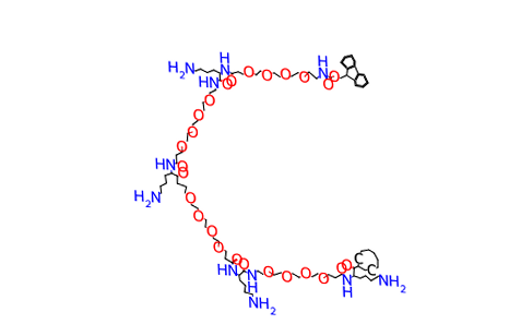 NCCCCC(NC(=O)CCOCCOCCOCCOCCNC(=O)C(CCCCN)NC(=O)CCOCCOCCOCCOCCNC(=O)OCC1c2ccccc2-c2ccccc21)C(=O)CCCOCCOCCOCCOCCC(=O)NC(CCCCN)C(=O)NCCOCCOCCOCCOCCC(=O)NC(CCCCN)C(=O)C1CCCCCCCC1